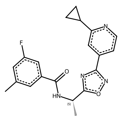 Cc1cc(F)cc(C(=O)N[C@@H](C)c2nc(-c3ccnc(C4CC4)c3)no2)c1